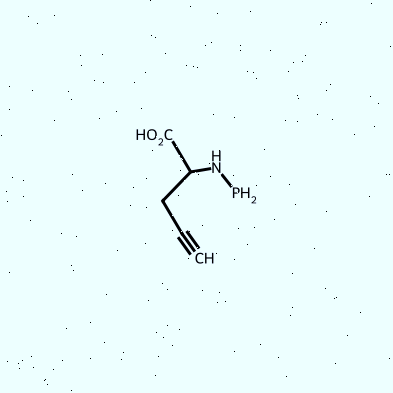 C#CCC(NP)C(=O)O